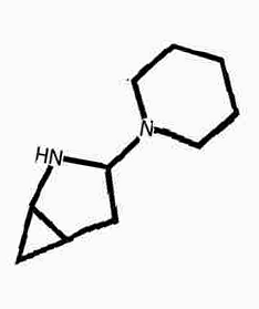 [CH]1CCCCN1C1CC2CC2N1